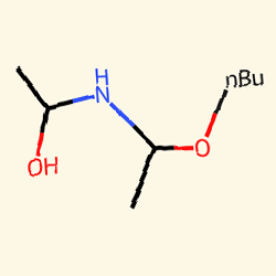 CCCCOC(C)NC(C)O